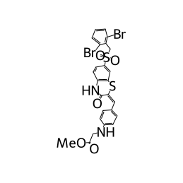 COC(=O)CNc1ccc(/C=C2/Sc3cc(S(=O)(=O)Cc4c(Br)cccc4Br)ccc3NC2=O)cc1